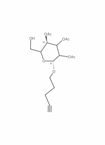 C#CCCCO[C@@H]1OC(CO)[C@@H](OC(C)=O)C(OC(C)=O)C1OC(C)=O